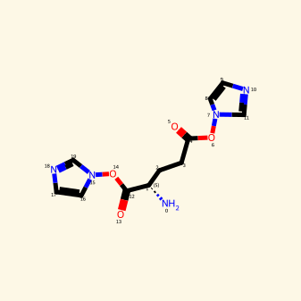 N[C@@H](CCC(=O)On1ccnc1)C(=O)On1ccnc1